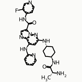 C[C@@H](N)C(=O)N[C@H]1CC[C@H](Nc2cc(Nc3ccccn3)c3ncc(C(=O)Nc4ccncc4F)n3n2)CC1